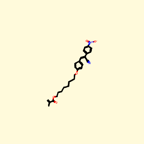 C=C(C)C(=O)OCCCCCCCCOc1ccc(C=C(C#N)c2ccc([N+](=O)[O-])cc2)cc1